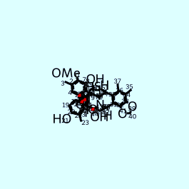 COc1c(C)cc2c(c1O)[C@@H]1[C@@H]3[C@@H]4SC[C@]5(NCCc6cc(O)c(C)cc65)C(=O)OC[C@@H](c5c6c(c(C)c(C)c54)OCO6)N3C(O)[C@H](C2)N1C